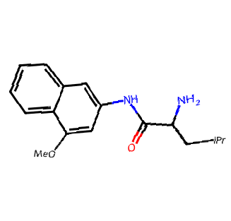 COc1cc(NC(=O)C(N)CC(C)C)cc2ccccc12